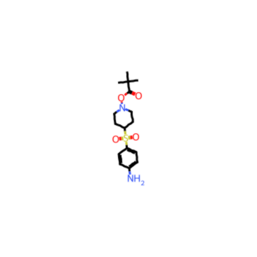 CC(C)(C)C(=O)ON1CCC(S(=O)(=O)c2ccc(N)cc2)CC1